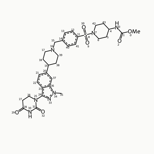 COC(=O)NC1CCN(S(=O)(=O)c2ccc(CN3CCC(c4ccc5c(N6CCC(=O)NC6=O)nn(C)c5c4)CC3)cc2)CC1